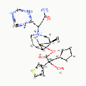 NC(=O)C(c1ncncn1)[N+]12CCC(CC1)[C@@H](OC(=O)C(O)(c1ccsc1)C1CCCC1)C2